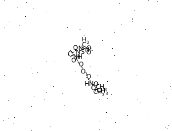 Cc1nc(NC(=O)c2ccccc2NC(=O)CCOCCOCCOCCNC(=O)OC(C)(C)C)sc1[N+](=O)[O-]